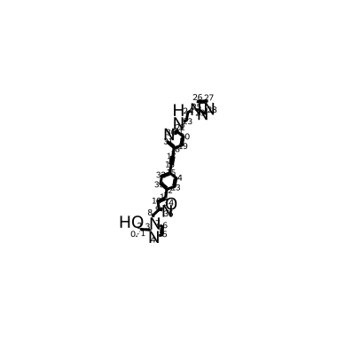 C[C@H](O)c1nccn1Cc1cc(-c2ccc(C#Cc3ccc(NCCn4ccnn4)nc3)cc2)on1